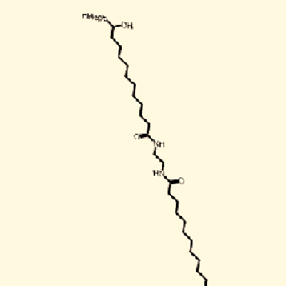 CCCCCCCC(O)CCCCCCCCCCC(=O)NCCNC(=O)CCCCCCCCCCC(O)CCCCCCC